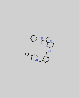 CC1CCN(Cc2cccc(CNc3ccn4ncc(C(=O)Nc5ccccc5)c4n3)c2)CC1